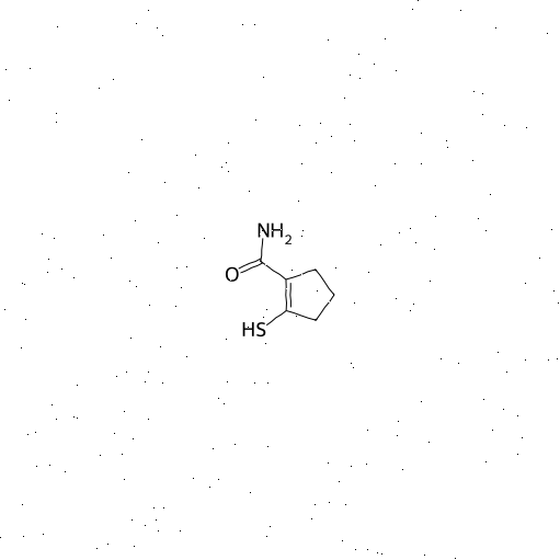 NC(=O)C1=C(S)CCC1